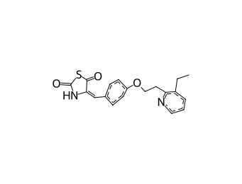 CCc1cccnc1CCOc1ccc(C=C2NC(=O)SC2=O)cc1